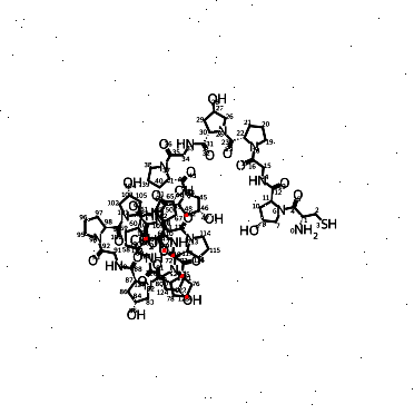 N[C@@H](CS)C(=O)N1C[C@H](O)C[C@H]1C(=O)NCC(=O)N1CCC[C@H]1C(=O)N1C[C@H](O)C[C@H]1C(=O)NCC(=O)N1CCC[C@H]1C(=O)N1C[C@H](O)C[C@H]1C(=O)NCC(=O)N1CCC[C@H]1C(=O)N1C[C@H](O)C[C@H]1C(=O)NCC(=O)N1CCC[C@H]1C(=O)N1C[C@H](O)C[C@H]1C(=O)NCC(=O)N1CCC[C@H]1C(=O)N1C[C@H](O)C[C@H]1C(=O)NCC(=O)N1CCC[C@H]1C(=O)N1C[C@H](O)C[C@H]1C(=O)NCC(=O)O